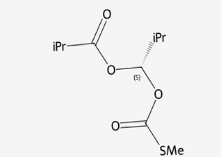 CSC(=O)O[C@H](OC(=O)C(C)C)C(C)C